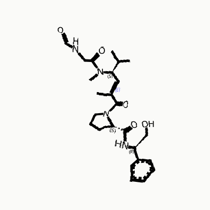 C/C(=C\[C@H](C(C)C)N(C)C(=O)CNC=O)C(=O)N1CCC[C@H]1C(=O)N[C@@H](CO)c1ccccc1